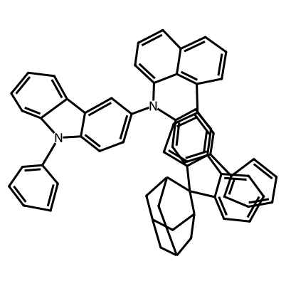 c1ccc(-c2ccc(N(c3ccc4c(c3)c3ccccc3n4-c3ccccc3)c3cccc4cccc(-c5ccc6c(c5)-c5ccccc5C65C6CC7CC(C6)CC5C7)c34)cc2)cc1